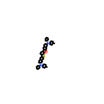 Cc1ccc(N(c2ccccc2)c2ccc3cc4c(cc3c2)oc2c4ccc3c4cc5ccc(N(c6ccccc6)c6ccc(C)cc6)cc5cc4sc32)cc1